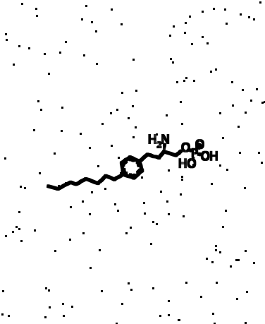 CCCCCCCCc1ccc(CC[C@@H](N)COP(=O)(O)O)cc1